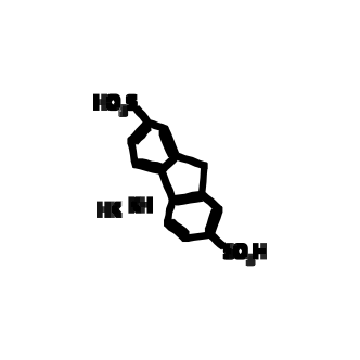 O=S(=O)(O)c1ccc2c(c1)Cc1cc(S(=O)(=O)O)ccc1-2.[KH].[KH]